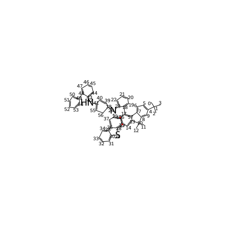 CC(C)(C)c1ccc2c(c1)C(C)(C)c1cccc(-c3ccccc3N(c3ccc4sc5ccccc5c4c3)C3C=CC(Nc4ccccc4-c4ccccc4)=CC3)c1-2